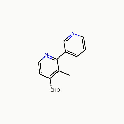 Cc1c(C=O)ccnc1-c1cccnc1